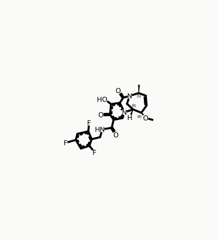 CO[C@@H]1C=C[C@H](C)N2C[C@H]1n1cc(C(=O)NCc3c(F)cc(F)cc3F)c(=O)c(O)c1C2=O